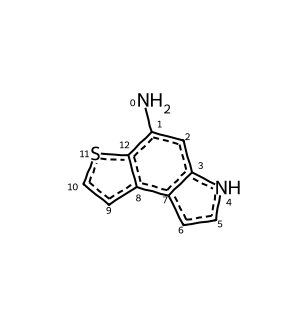 Nc1cc2[nH]ccc2c2ccsc12